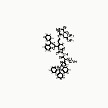 CCOC(Cn1c(SC=CC2=C(C(=O)OC(c3ccccc3)c3ccccc3)N3C(=O)C(NC(=O)C(NOC)c4csc(NC(c5ccccc5)(c5ccccc5)c5ccccc5)n4)C3SC2)n[nH]c(=O)c1=O)OCC